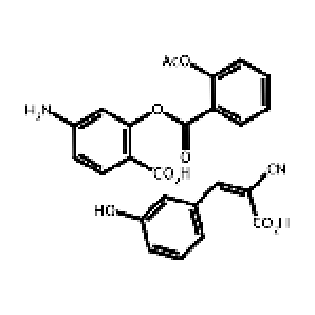 CC(=O)Oc1ccccc1C(=O)Oc1cc(N)ccc1C(=O)O.N#CC(=Cc1cccc(O)c1)C(=O)O